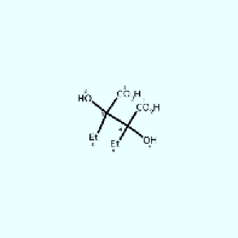 CCC(O)(C(=O)O)C(O)(CC)C(=O)O